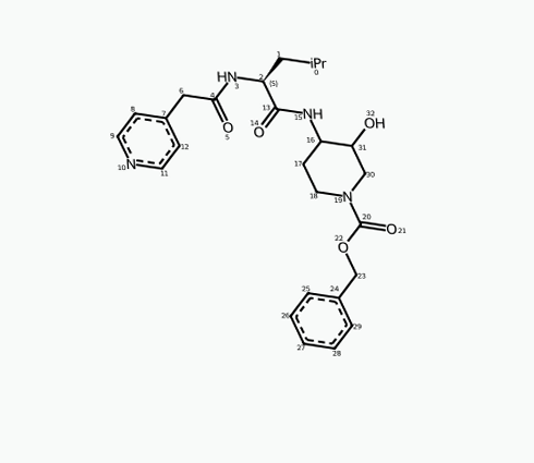 CC(C)C[C@H](NC(=O)Cc1ccncc1)C(=O)NC1CCN(C(=O)OCc2ccccc2)CC1O